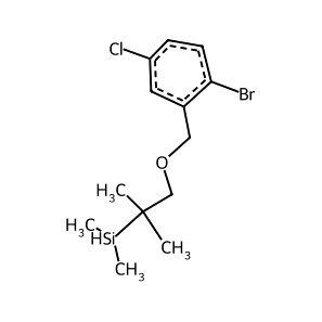 C[SiH](C)C(C)(C)COCc1cc(Cl)ccc1Br